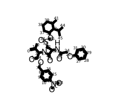 C=C(C)C(C(=O)OCc1ccc([N+](=O)[O-])cc1)N1C(=O)C(NC(=O)COc2ccccc2)C1S(=O)OC1CCCC(C)C1C(C)C